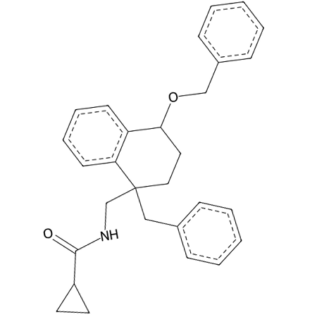 O=C(NCC1(Cc2ccccc2)CCC(OCc2ccccc2)c2ccccc21)C1CC1